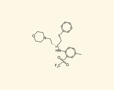 Cc1ccc(N[C@H](CCN2CCOCC2)CSc2ccccc2)c(S(=O)(=O)C(F)(F)F)c1